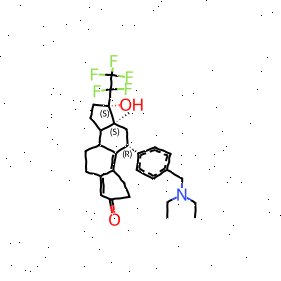 CCN(CC)Cc1ccc([C@H]2C[C@@]3(C)C(CC[C@@]3(O)C(F)(F)C(F)(F)F)C3CCC4=CC(=O)CCC4=C32)cc1